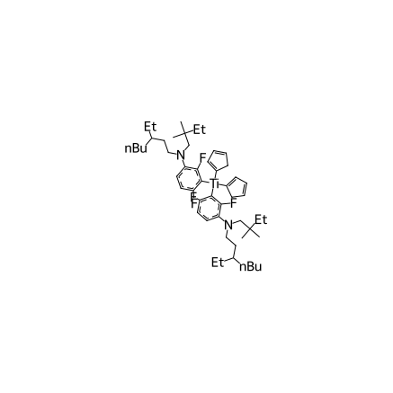 CCCCC(CC)CCN(CC(C)(C)CC)c1ccc(F)[c]([Ti]([C]2=CC=CC2)([C]2=CC=CC2)[c]2c(F)ccc(N(CCC(CC)CCCC)CC(C)(C)CC)c2F)c1F